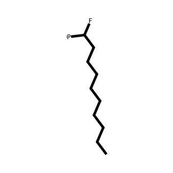 CCCCCCCCCC(F)[P]